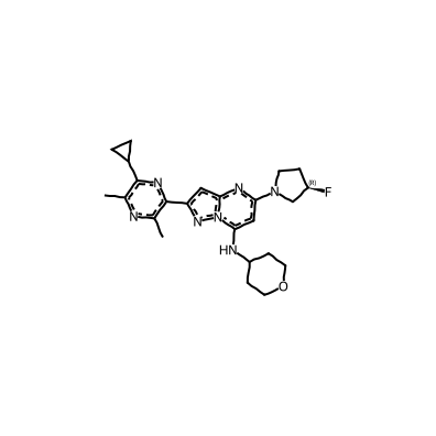 Cc1nc(C)c(C2CC2)nc1-c1cc2nc(N3CC[C@@H](F)C3)cc(NC3CCOCC3)n2n1